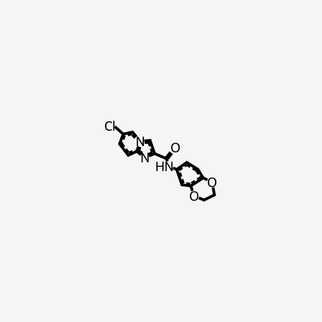 O=C(Nc1ccc2c(c1)OCCO2)c1cn2cc(Cl)ccc2n1